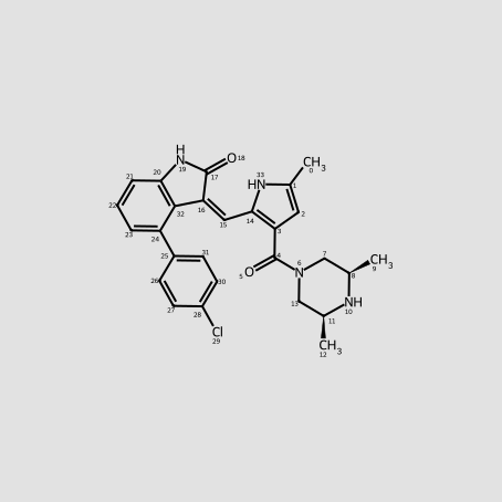 Cc1cc(C(=O)N2C[C@@H](C)N[C@@H](C)C2)c(C=C2C(=O)Nc3cccc(-c4ccc(Cl)cc4)c32)[nH]1